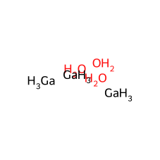 O.O.O.[GaH3].[GaH3].[GaH3]